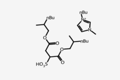 CCCCC(C)COC(=O)CC(C(=O)OCC(C)CCCC)S(=O)(=O)O.CCCC[n+]1ccn(C)c1